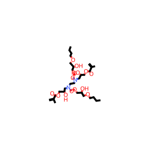 C=C(C)C(=O)OCC(O)CN(CCN(CC(O)COC(=O)C(=C)C)OOCC(O)COCCCC)OOCC(O)COCCCC